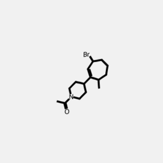 CC(=O)N1CCC(C2=CC(Br)CCCC2C)CC1